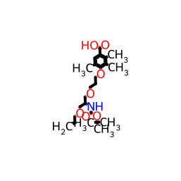 C=CCOCC(COCCCOc1c(C)cc(C(=O)O)c(C)c1C)NC(=O)OC(C)(C)C